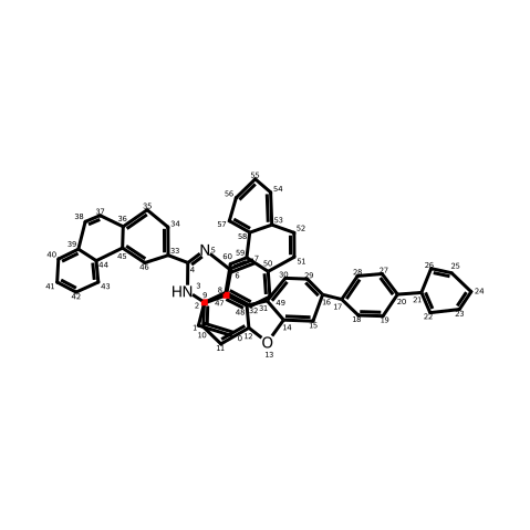 C=CC(N/C(=N\C(=C)c1cccc2oc3cc(-c4ccc(-c5ccccc5)cc4)ccc3c12)c1ccc2ccc3ccccc3c2c1)c1ccc2ccc3ccccc3c2c1